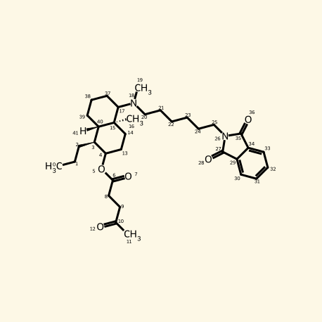 CCC[C@@H]1C(OC(=O)CCC(C)=O)CC[C@]2(C)C(N(C)CCCCCCN3C(=O)c4ccccc4C3=O)CCC[C@@H]12